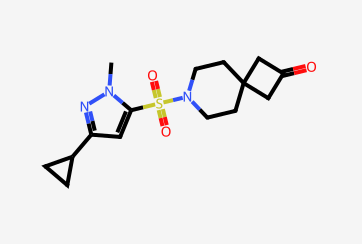 Cn1nc(C2CC2)cc1S(=O)(=O)N1CCC2(CC1)CC(=O)C2